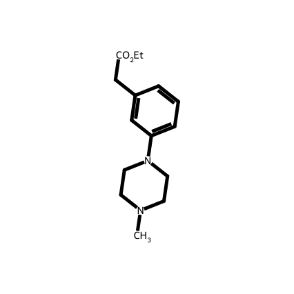 CCOC(=O)Cc1cccc(N2CCN(C)CC2)c1